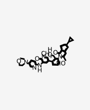 Cn1cc(-c2cccc(-n3c(CO)cc4cc(C5CC5)ccc4c3=O)c2CO)cc(Nc2ccc(N3CCOCC3)cn2)c1=O